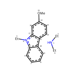 CCNCC.CCn1c2ccccc2c2ccc(OC)cc21